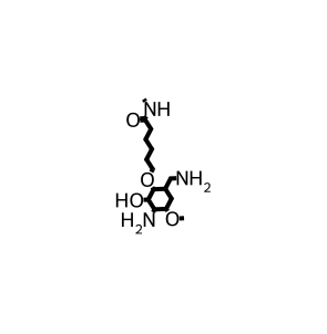 CNC(=O)CCCCCOC1C(CN)CC(OC)C(N)C1O